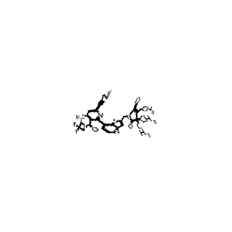 Cc1cc(C#N)nc(-c2ccnc3cc(CN4C(=O)C(C)C(C)(C)C4=O)sc23)c1C(=O)N1CC(F)(F)C1